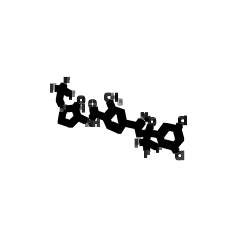 Cc1cc(C2=NOC(c3cc(Cl)cc(Cl)c3)(C(F)(F)F)C2)ccc1C(=O)NC1CCN(CC(F)(F)F)C1O